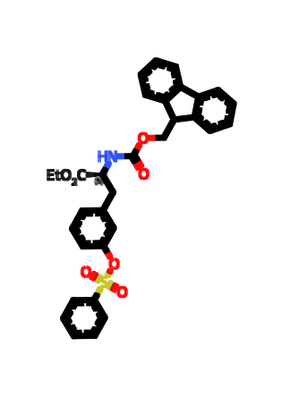 CCOC(=O)[C@H](Cc1cccc(OS(=O)(=O)c2ccccc2)c1)NC(=O)OCC1c2ccccc2-c2ccccc21